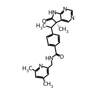 Cc1cc(C)nc(CNC(=O)c2ccc(C(C)[C@@]3(C)C(=O)Nc4ncncc43)cc2)c1